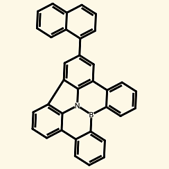 c1ccc2c(c1)B1c3ccccc3-c3cc(-c4cccc5ccccc45)cc4c5cccc-2c5n1c34